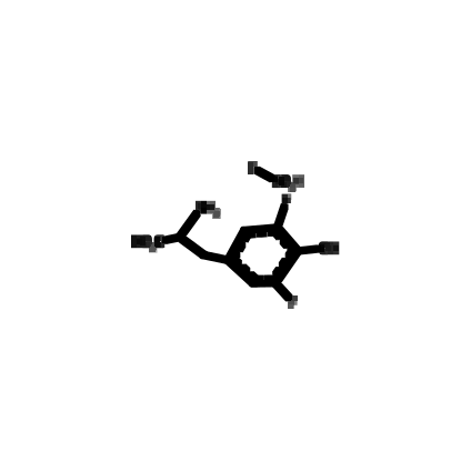 NC(Cc1cc(F)c(O)c(F)c1)C(=O)O.O=S(=O)(O)F